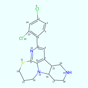 Clc1ccc(-c2cc3c4c(n2)SCCCN4C2CCNCC32)c(Cl)c1